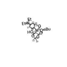 CCCCOC(=O)N(C1=C(O)OC(C)(C)OC1=O)c1ccc(N(CC)CC)cc1C